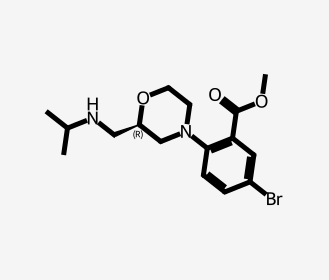 COC(=O)c1cc(Br)ccc1N1CCO[C@H](CNC(C)C)C1